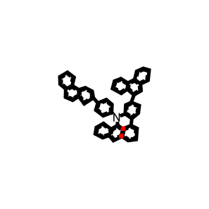 c1ccc(-c2ccc(-c3cc4ccccc4c4ccccc34)cc2N(c2ccc(-c3ccc4c(ccc5ccccc54)c3)cc2)c2cccc3ccccc23)cc1